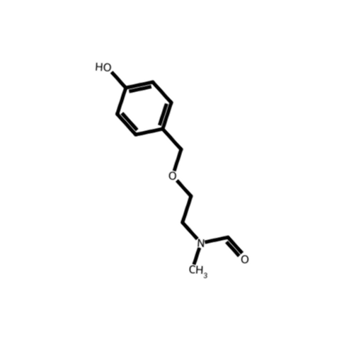 CN(C=O)CCOCc1ccc(O)cc1